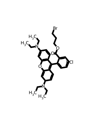 CCN(CC)c1ccc2c(c1)OC1=CC(N(CC)CC)C=CC1=C2c1ccccc1C(=O)OCCCBr.Cl